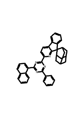 c1ccc(-c2nc(-c3ccc4c(n3)C3(c5ccccc5-4)C4CC5CC(C4)CC3C5)nc(-c3cccc4ccccc34)n2)cc1